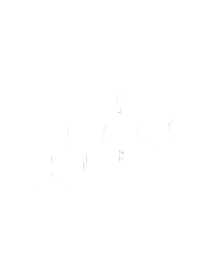 O=c1c2c([nH]c3ccccc13)-c1ccc(F)cc1OC2